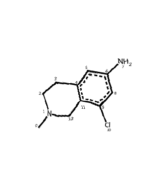 CN1CCc2cc(N)cc(Cl)c2C1